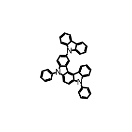 c1ccc(-n2c3ccccc3c3c4c5cc(-n6c7ccccc7c7ccccc76)ccc5n(-c5ccccc5)c4ccc32)cc1